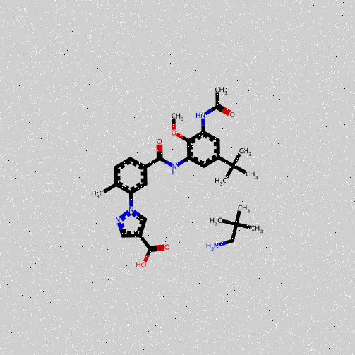 CC(C)(C)CN.COc1c(NC(C)=O)cc(C(C)(C)C)cc1NC(=O)c1ccc(C)c(-n2cc(C(=O)O)cn2)c1